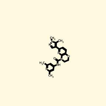 Cc1cc(NC(=O)N2CCOc3ccc(-c4cnn(C)c4C)nc32)cc(C)n1